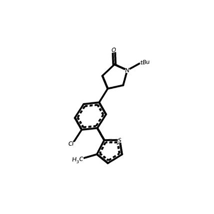 Cc1ccsc1-c1cc(C2CC(=O)N(C(C)(C)C)C2)ccc1Cl